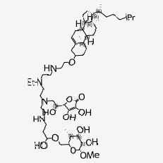 CCN(CCNCCOC1CC[C@@]2(C)C(=CC[C@H]3[C@@H]4CC[C@H]([C@H](C)CCCC(C)C)[C@@]4(C)CC[C@@H]32)C1)CCN(CCNCCC(O)OCC1OC(OC)[C@@H](O)[C@@H](O)[C@H]1C)C[C@H](O)C1OC(=O)C(O)=C1O